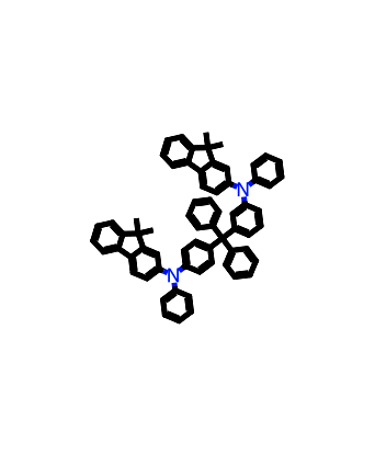 CC1(C)c2ccccc2-c2ccc(N(c3ccccc3)c3ccc(C(c4ccccc4)(c4ccccc4)c4cccc(N(c5ccccc5)c5ccc6c(c5)C(C)(C)c5ccccc5-6)c4)cc3)cc21